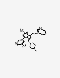 C[C@H]1CC[C@H](Cn2cc(CCc3cccnc3)c3nc(C#N)nc(-c4cncc(Cl)c4)c32)CC1